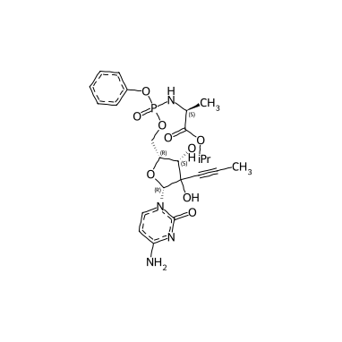 CC#CC1(O)[C@@H](O)[C@@H](COP(=O)(N[C@@H](C)C(=O)OC(C)C)Oc2ccccc2)O[C@H]1n1ccc(N)nc1=O